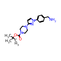 CC(C)(C)OC(=O)N1CCN(c2ccn(-c3ccc(CN)cc3)n2)CC1